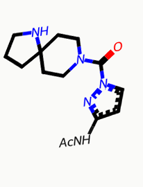 CC(=O)Nc1ccn(C(=O)N2CCC3(CCCN3)CC2)n1